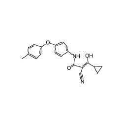 Cc1ccc(Oc2ccc(NC(=O)C(C#N)=C(O)C3CC3)cc2)cc1